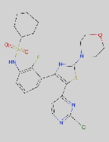 O=S(=O)(Nc1cccc(-c2nc(N3CCOCC3)sc2-c2ccnc(Cl)n2)c1F)C1CCCCC1